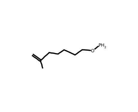 C=C(C)CCCCCOP